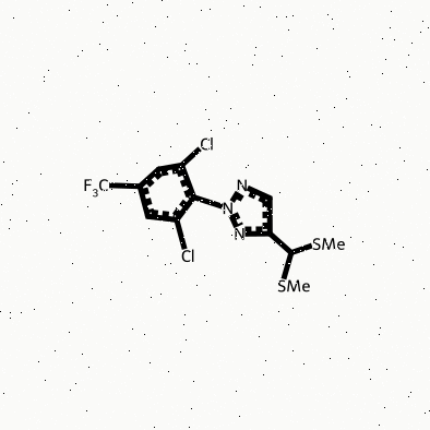 CSC(SC)c1cnn(-c2c(Cl)cc(C(F)(F)F)cc2Cl)n1